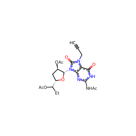 C#CCn1c(=O)n([C@@H]2O[C@H](C(CC)OC(C)=O)C[C@H]2OC(C)=O)c2nc(NC(C)=O)[nH]c(=O)c21